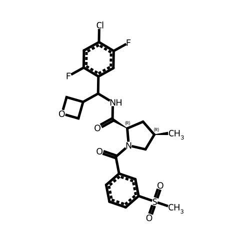 C[C@@H]1C[C@H](C(=O)NC(c2cc(F)c(Cl)cc2F)C2COC2)N(C(=O)c2cccc(S(C)(=O)=O)c2)C1